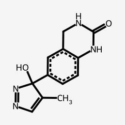 CC1=CN=NC1(O)c1ccc2c(c1)CNC(=O)N2